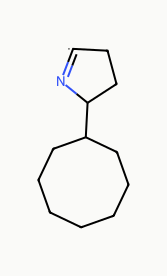 [C]1=NC(C2CCCCCCC2)CC1